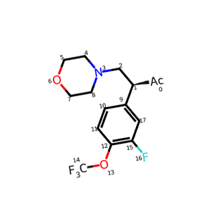 CC(=O)[C@H](CN1CCOCC1)c1ccc(OC(F)(F)F)c(F)c1